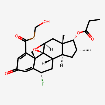 CCC(=O)O[C@@H]1[C@H](C)C[C@H]2[C@@H]3C[C@H](F)C4=CC(=O)C=C(C(=O)SCO)[C@]4(C)[C@@]34O[C@H]4C[C@]12C